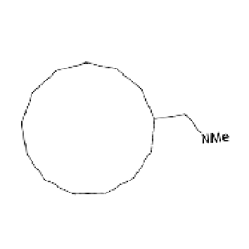 CNCC1CCCCCCCCCCCC1